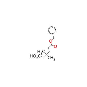 CC(C)(CCC(=O)OCc1ccccc1)CC(=O)O